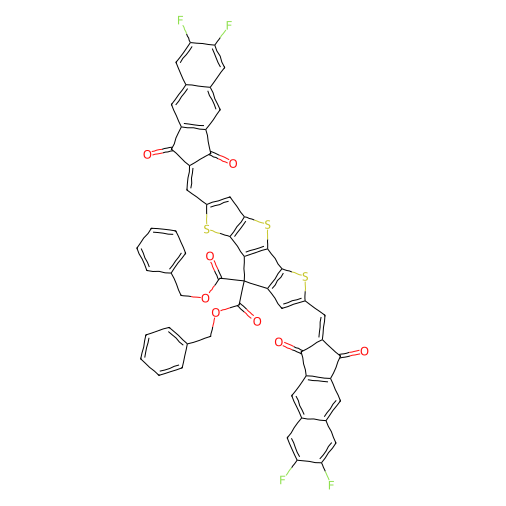 O=C1C(=Cc2cc3c(s2)-c2sc4cc(C=C5C(=O)c6cc7cc(F)c(F)cc7cc6C5=O)sc4c2C3(C(=O)OCc2ccccc2)C(=O)OCc2ccccc2)C(=O)c2cc3cc(F)c(F)cc3cc21